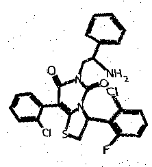 NC(Cn1c(=O)c(-c2ccccc2Cl)c2n(c1=O)C(c1c(F)cccc1Cl)CS2)c1ccccc1